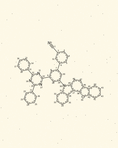 N#Cc1cccc(-c2cc(-c3nc(-c4ccccc4)nc(-c4ccccc4)n3)cc(-n3c4ccccc4c4c5oc6ccccc6c5ccc43)c2)c1